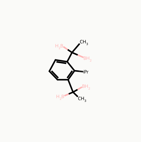 BC(B)(C)c1cccc(C(B)(B)C)c1C(C)C